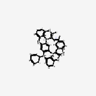 C/C=C\C1=C(C)Oc2cccc3c2B1c1cc2c(cc1O3)N(C1C=CC=CC1)c1cccc3c1B2c1c(oc2ccccc12)O3